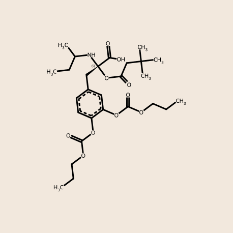 CCCOC(=O)Oc1ccc(C[C@](NC(C)CC)(OC(=O)CC(C)(C)C)C(=O)O)cc1OC(=O)OCCC